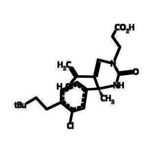 C=C(C)C1=CN(CCC(=O)O)C(=O)N[C@@]1(C)c1ccc(CCC(C)(C)C)c(Cl)c1